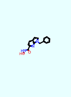 O=C(NO)c1ccc2ccn(Cc3ccccc3)c2n1